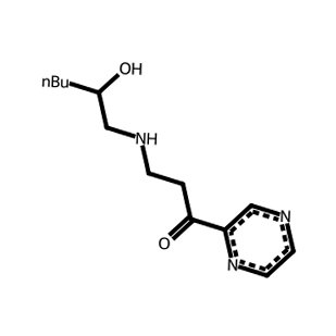 CCCCC(O)CNCCC(=O)c1cnccn1